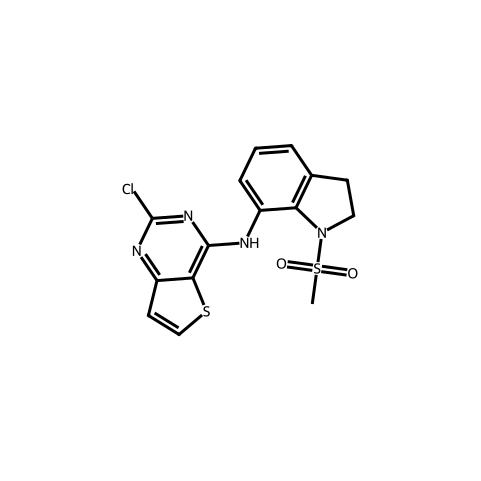 CS(=O)(=O)N1CCc2cccc(Nc3nc(Cl)nc4ccsc34)c21